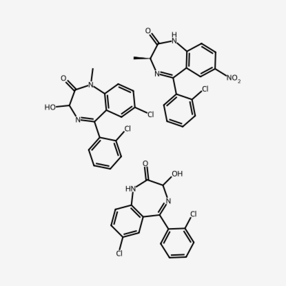 CN1C(=O)C(O)N=C(c2ccccc2Cl)c2cc(Cl)ccc21.C[C@@H]1N=C(c2ccccc2Cl)c2cc([N+](=O)[O-])ccc2NC1=O.O=C1Nc2ccc(Cl)cc2C(c2ccccc2Cl)=NC1O